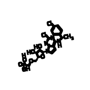 C[C@@H](Nc1nc(Cl)nc2c1ccn2[C@@H]1O[C@H](COCP(=O)(O)O)[C@@H](O)[C@H]1O)c1ccc(Cl)cc1